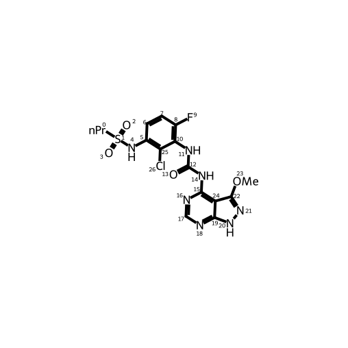 CCCS(=O)(=O)Nc1ccc(F)c(NC(=O)Nc2ncnc3[nH]nc(OC)c23)c1Cl